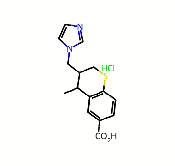 CC1c2cc(C(=O)O)ccc2SCC1Cn1ccnc1.Cl